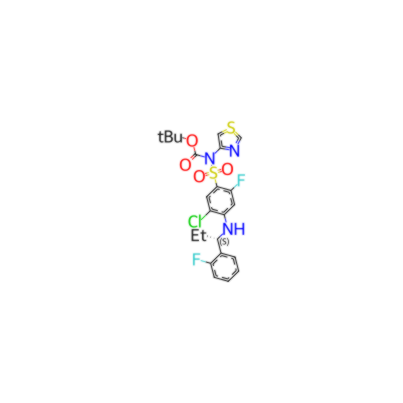 CC[C@H](Nc1cc(F)c(S(=O)(=O)N(C(=O)OC(C)(C)C)c2cscn2)cc1Cl)c1ccccc1F